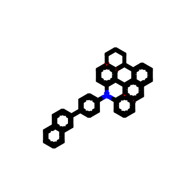 c1ccc(N(c2ccc(-c3ccc4ccccc4c3)cc2)c2ccccc2-c2cccc3cccc(C4CCCCC4)c23)cc1